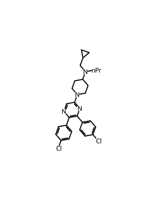 CCCN(CC1CC1)C1CCN(c2cnc(-c3ccc(Cl)cc3)c(-c3ccc(Cl)cc3)n2)CC1